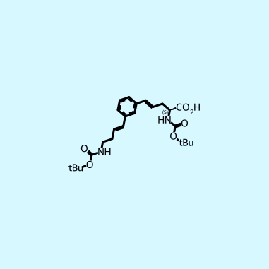 CC(C)(C)OC(=O)NCCC=Cc1cccc(C=CC[C@H](NC(=O)OC(C)(C)C)C(=O)O)c1